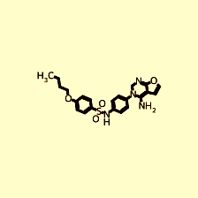 CCCCOc1ccc(S(=O)(=O)Nc2ccc(N3CN=c4occc4=C3N)cc2)cc1